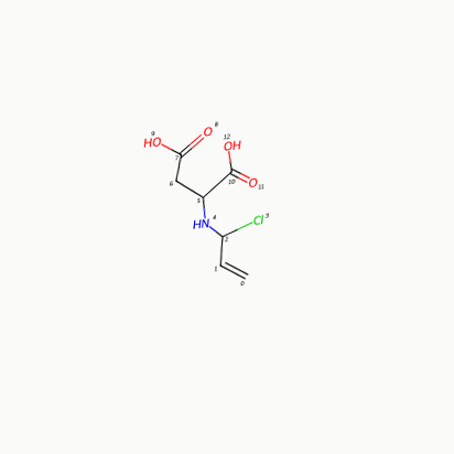 C=CC(Cl)NC(CC(=O)O)C(=O)O